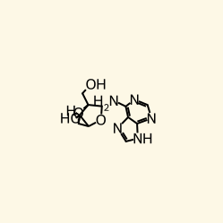 Nc1ncnc2[nH]cnc12.OCC12COC(CO1)[C@@H]2O